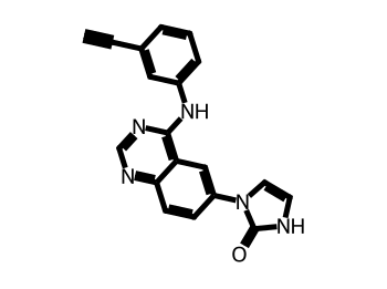 C#Cc1cccc(Nc2ncnc3ccc(-n4cc[nH]c4=O)cc23)c1